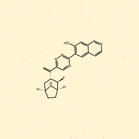 C=C(c1cnc(-c2cc3ccncc3cc2O)nn1)[C@H]1C[C@@H]2CC[C@@H](N2)[C@@H]1F